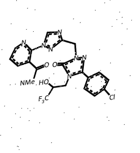 CNC(=O)c1cccnc1-n1cnc(Cn2nc(-c3ccc(Cl)cc3)n(CC(O)C(F)(F)F)c2=O)n1